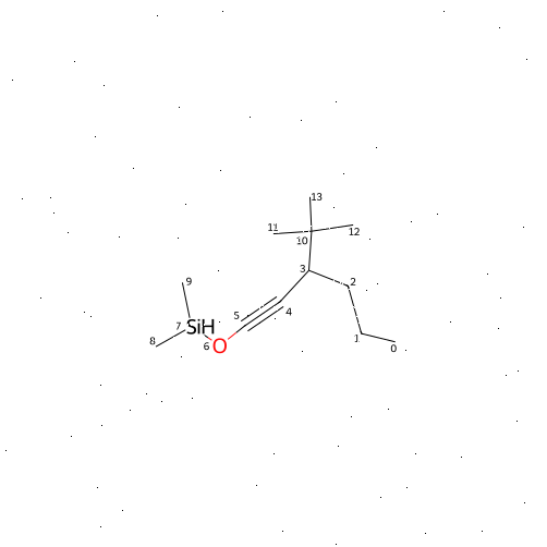 CCCC(C#CO[SiH](C)C)C(C)(C)C